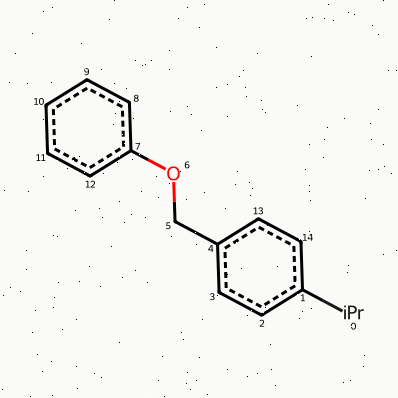 CC(C)c1ccc(COc2ccccc2)cc1